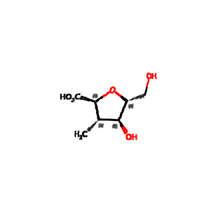 C[C@H]1[C@H](O)[C@@H](CO)O[C@@H]1C(=O)O